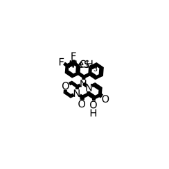 CSc1ccccc1C(c1ccc(F)c(F)c1C)N1C2COCCN2C(=O)c2c(O)c(=O)ccn21